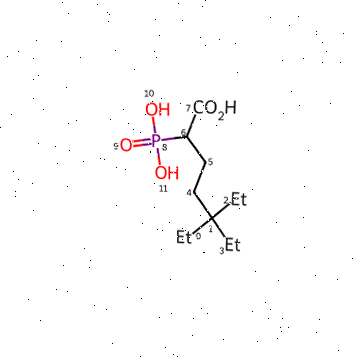 CCC(CC)(CC)CCC(C(=O)O)P(=O)(O)O